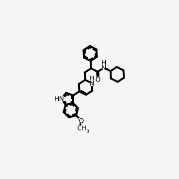 COc1ccc2[nH]cc(C3=CCNC(CC(C(=O)NC4CCCCC4)c4ccccc4)C3)c2c1